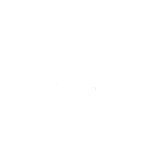 C=Cc1cc([N+](=O)[O-])ccc1OC